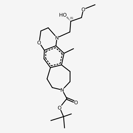 COC[C@@H](O)CN1CCOc2cc3c(c(C)c21)CCN(C(=O)OC(C)(C)C)CC3